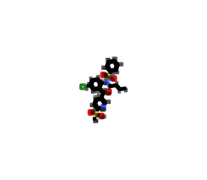 CCCCN(c1ccc(Cl)cc1C(=O)c1ccc(S(C)(=O)=O)nc1)S(=O)(=O)c1ccccc1